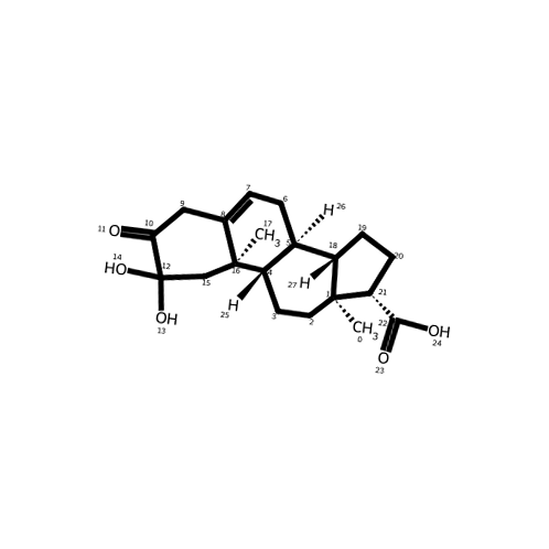 C[C@]12CC[C@H]3[C@@H](CC=C4CC(=O)C(O)(O)C[C@@]43C)[C@@H]1CC[C@@H]2C(=O)O